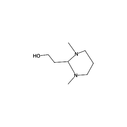 CN1CCCN(C)C1CCO